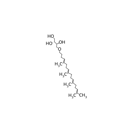 CC(C)=CCC/C(C)=C/CC/C(C)=C/CC/C(C)=C/CCCOC[C@H](O)[C@H](O)CO